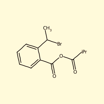 CC(C)C(=O)OC(=O)c1ccccc1C(C)Br